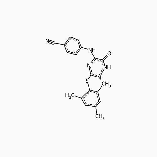 Cc1cc(C)c(Sc2n[nH]c(=O)c(Nc3ccc(C#N)cc3)n2)c(C)c1